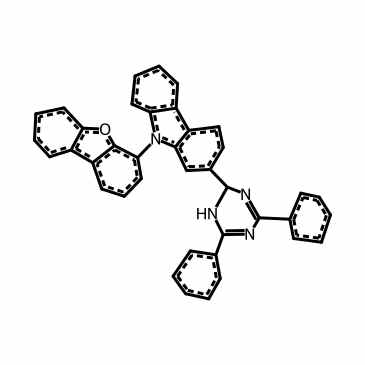 c1ccc(C2=NC(c3ccc4c5ccccc5n(-c5cccc6c5oc5ccccc56)c4c3)NC(c3ccccc3)=N2)cc1